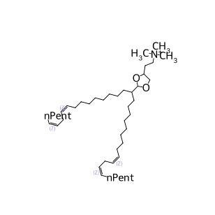 CCCCC/C=C\C/C=C\CCCCCCCCC(CCCCCCCC/C=C\C/C=C\CCCCC)C1OCC(CC[N+](C)(C)C)O1